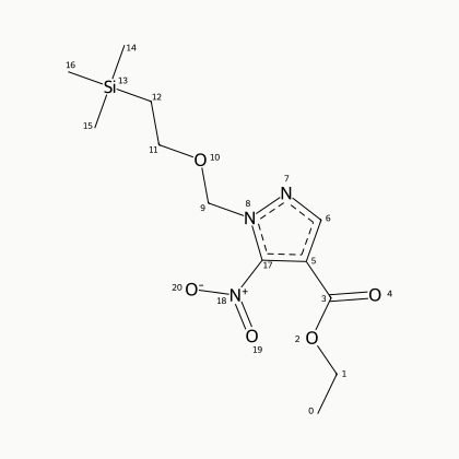 CCOC(=O)c1cnn(COCC[Si](C)(C)C)c1[N+](=O)[O-]